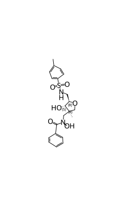 Cc1ccc(S(=O)(=O)NC[C@H]2OC[C@@](C)(CN(O)C(=O)c3ccccc3)[C@@H]2O)cc1